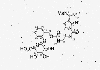 CNc1ncnc2c1ccn2C(=O)N(C)CCN(C)C(=O)OCc1ccccc1O[C@@H]1O[C@H](C(=O)O)[C@@H](O)[C@H](O)[C@H]1O